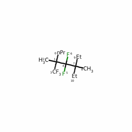 CCCC(C)(C(F)(F)F)C(F)(F)C(C)(CC)CC